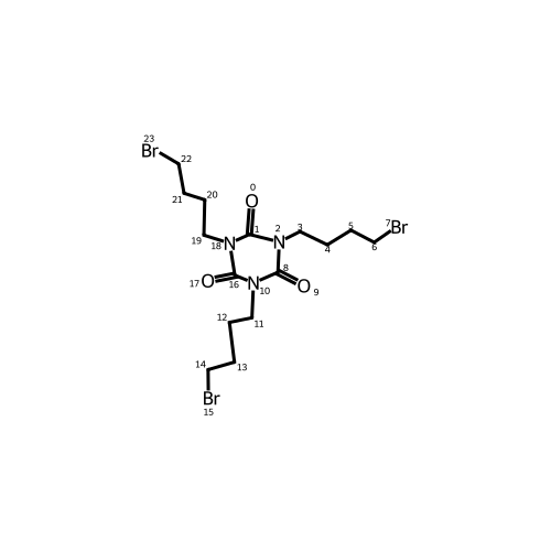 O=c1n(CCCCBr)c(=O)n(CCCCBr)c(=O)n1CCCCBr